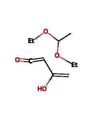 C=C(O)C=C=O.CCOC(C)OCC